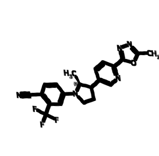 Cc1nnc(-c2ccc(C3CCN(c4ccc(C#N)c(C(F)(F)F)c4)[C@H]3C)cn2)o1